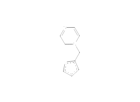 C1=CN(Cc2cccs2)CC=N1